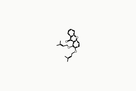 CC(C)=CCOc1ccc2oc3ccccc3c(=O)c2c1OCC=C(C)C